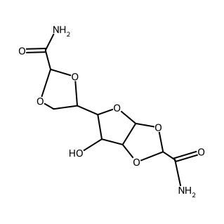 NC(=O)C1OCC(C2OC3OC(C(N)=O)OC3C2O)O1